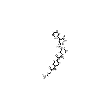 CN(C)CC=CC(=O)Nc1ccc(C(=O)N[C@H]2CCC[C@@H](Nc3ncc(Cl)c(-c4cccnc4)n3)C2)cc1